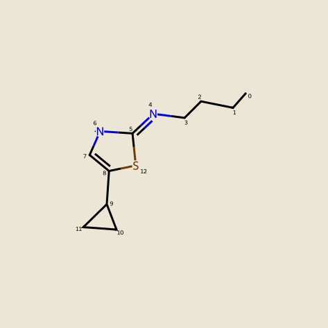 CCCCN=C1[N]C=C(C2CC2)S1